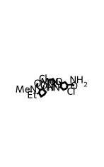 CCc1cccc(Oc2nc(Nc3cc(Cl)c(C(N)=O)cc3OC)ncc2Cl)c1C(=O)NC